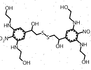 O=[N+]([O-])c1c(NCCO)cc(C(O)CSSCC(O)c2cc(NCCO)c([N+](=O)[O-])c(NCCO)c2)cc1NCCO